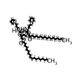 CCCCCCCC/C=C\CCCCCCCC(=O)OCC(OC(=O)NCCCN1CCCC1)C(COC(=O)CCCCCCCCCCCCCCCC)OC(=O)NCCCN1CCCC1